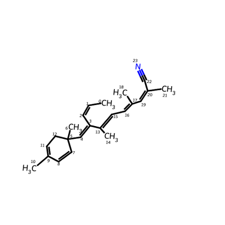 C\C=C/C(=C\C1(C)C=CC(C)=CC1)C(/C)=C/C=C(C)/C=C(/C)C#N